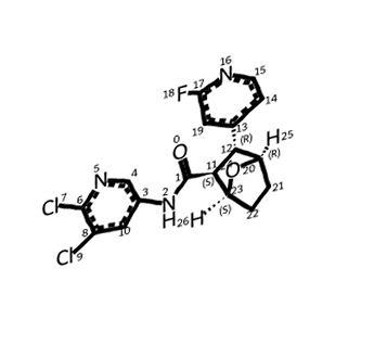 O=C(Nc1cnc(Cl)c(Cl)c1)[C@H]1[C@H](c2ccnc(F)c2)[C@H]2CC[C@@H]1O2